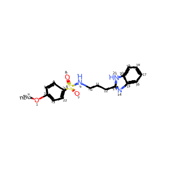 CCCCOc1ccc(S(=O)(=O)NCCCc2nc3ccccc3[nH]2)cc1